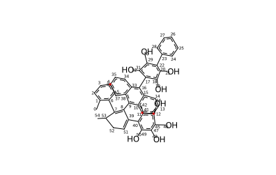 Cc1ccccc1C1=C(c2c3ccccc3c(-c3c(O)c(O)c(-c4ccccc4)c(O)c3O)c3ccccc23)C(c2c(C)c(O)c(O)c(O)c2O)=CCC1C